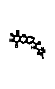 Cn1nnc(NC(=O)c2ccc3c(c2)Cc2c([nH]c(=S)[nH]c2=O)O3)n1